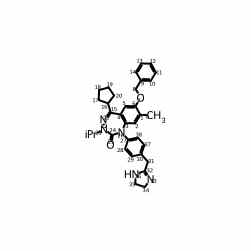 Cc1cc2c(cc1OCc1ccccc1)C(C1CCCC1)=NN(C(C)C)C(=O)N2c1ccc(CC2=NCCN2)cc1